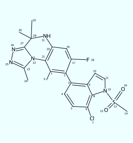 Cc1c(-c2ccc(Cl)c3c2ccn3S(C)(=O)=O)c(F)cc2c1-n1c(C)nnc1C(C)(C)N2